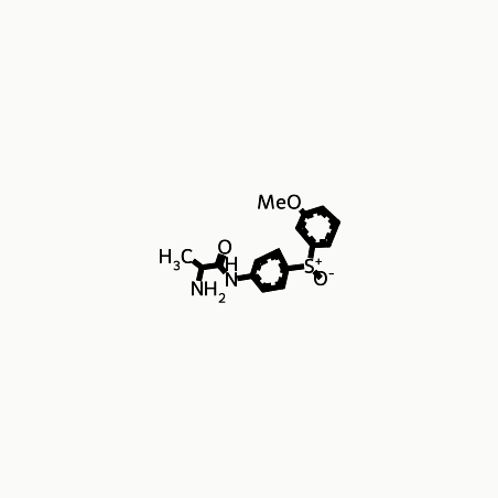 COc1cccc([S+]([O-])c2ccc(NC(=O)C(C)N)cc2)c1